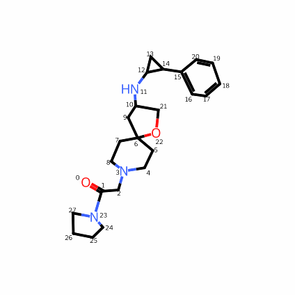 O=C(CN1CCC2(CC1)CC(NC1CC1c1ccccc1)CO2)N1CCCC1